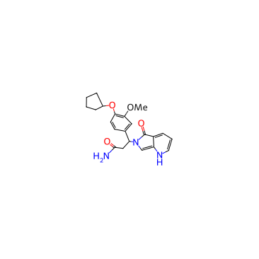 COc1cc(C(CC(N)=O)n2cc3[nH]cccc-3c2=O)ccc1OC1CCCC1